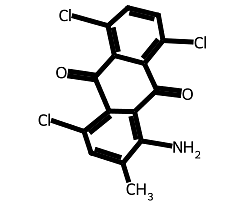 Cc1cc(Cl)c2c(c1N)C(=O)c1c(Cl)ccc(Cl)c1C2=O